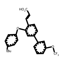 CC(C)(C)c1ccc(Oc2cc(-c3cccc(OC(F)(F)F)c3)ccc2/C=C/C(=O)O)cc1